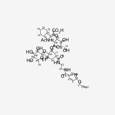 C#CCOc1ccc(C(=O)NCCNC(=O)C2CC(O[C@@H]3O[C@@H](CO)C(O)C(O[C@@H](CC4CCCCC4)C(=O)O)C3NC(C)=O)C(OC3OC(C)C(O)C(O)C3O)[C@H](CC)C2)cn1